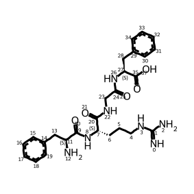 N=C(N)NCCC[C@H](NC(=O)[C@@H](N)Cc1ccccc1)C(=O)NCC(=O)N[C@@H](Cc1ccccc1)C(=O)O